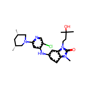 C[C@@H]1C[C@H](C)CN(c2cc(Nc3ccc4c(c3)n(CCC(C)(C)O)c(=O)n4C)c(Cl)cn2)C1